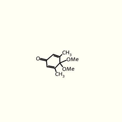 COC1(OC)C(C)=CC(=O)C=C1C